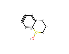 [O-][S+]1CCCc2cc#ccc21